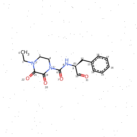 CCN1CCN(C(=O)N[C@H](C=O)Cc2ccccc2)C(=O)C1=O